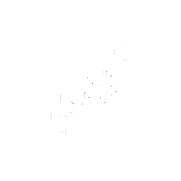 OCC1O[C@@H](n2cnc3c(NCc4ccccc4)nc(Cl)nc32)[C@H](O)[C@@H]1O